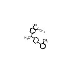 COc1cc(C(C)N2CCN(c3ccccc3C)CC2)ccc1O